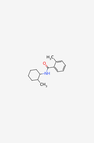 Cc1ccccc1C(=O)NC1CCCCC1C